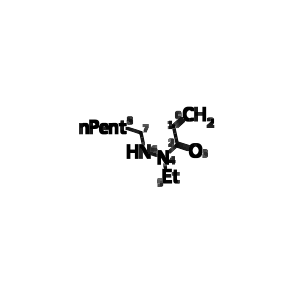 C=CC(=O)N(CC)NCCCCCC